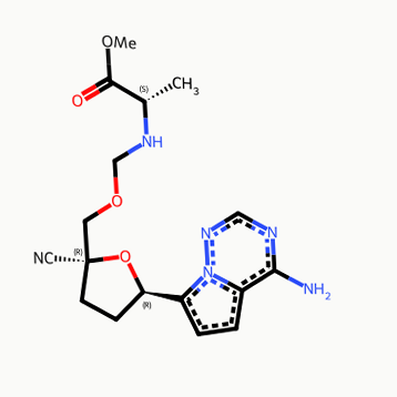 COC(=O)[C@H](C)NCOC[C@]1(C#N)CC[C@H](c2ccc3c(N)ncnn23)O1